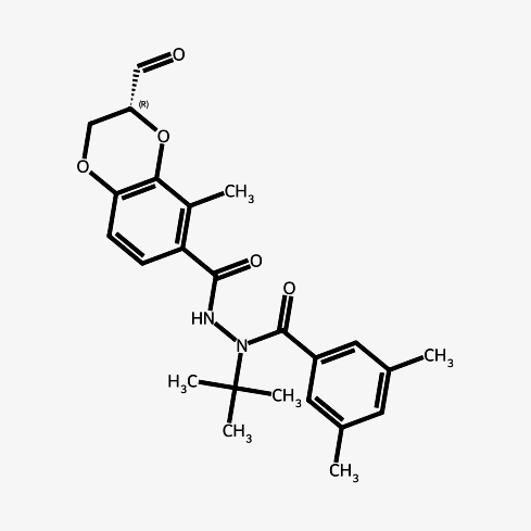 Cc1cc(C)cc(C(=O)N(NC(=O)c2ccc3c(c2C)O[C@@H](C=O)CO3)C(C)(C)C)c1